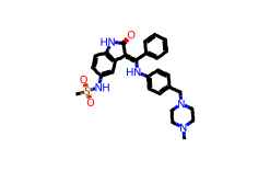 CN1CCN(Cc2ccc(N/C(=C3/C(=O)Nc4ccc(NS(C)(=O)=O)cc43)c3ccccc3)cc2)CC1